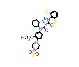 CS(=O)(=O)N1CCN(c2ccc(N(C(=O)n3nnn(-c4c(F)cccc4F)c3=O)C3CCCCC3)cc2C(=O)O)CC1